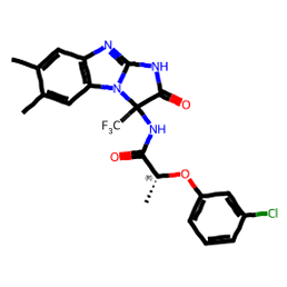 Cc1cc2nc3n(c2cc1C)C(NC(=O)[C@@H](C)Oc1cccc(Cl)c1)(C(F)(F)F)C(=O)N3